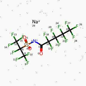 O=C([N-]S(=O)(=O)C(F)(C(F)(F)F)C(F)(F)F)C(F)(F)C(F)(F)C(F)(F)C(F)(F)F.[Na+]